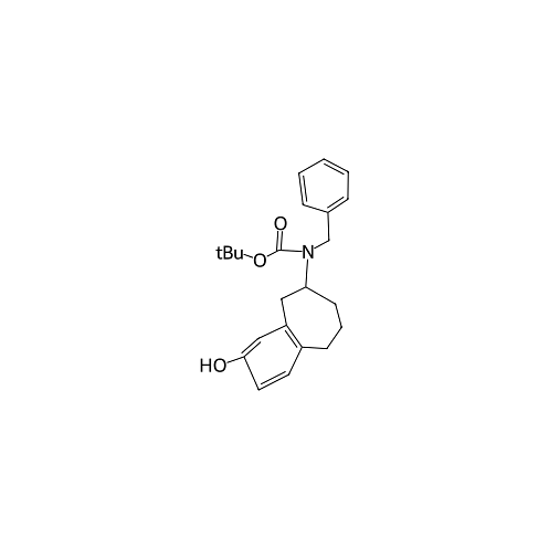 CC(C)(C)OC(=O)N(Cc1ccccc1)C1CCCc2ccc(O)cc2C1